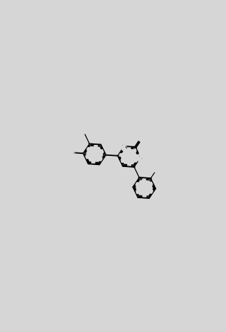 Cc1cc(-c2cc(-c3ccccc3Br)nc(=O)[nH]2)ccc1O